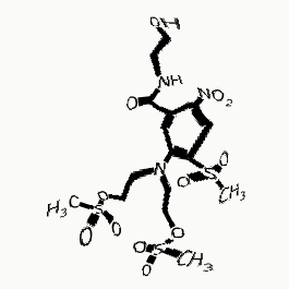 CS(=O)(=O)OCCN(CCOS(C)(=O)=O)c1cc(C(=O)NCCO)c([N+](=O)[O-])cc1S(C)(=O)=O